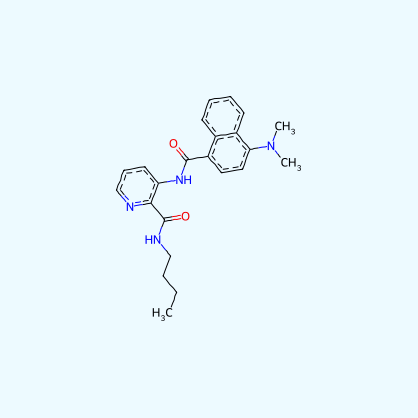 CCCCNC(=O)c1ncccc1NC(=O)c1ccc(N(C)C)c2ccccc12